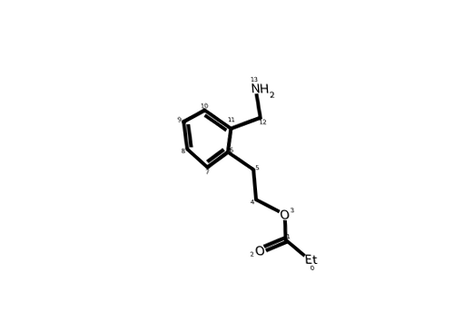 CCC(=O)OCCc1ccccc1CN